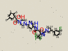 Cc1ccc(C)c(C(O)C(=O)N2CCN(c3ccc(NC(=O)c4oc(N5CCC(c6cccc(F)c6)C5)nc4C(F)(F)F)cn3)CC2)c1